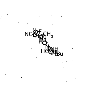 C[C@@H]1CN(c2ccc(C#N)n3ncc(F)c23)C[C@@H]2c3ccc(N4C[C@H](NC(=O)OC(C)(C)C)[C@@](C)(O)C4)cc3CN12